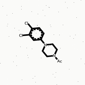 CC(=O)N1CCN(c2ccc(Cl)c(Cl)c2)CC1